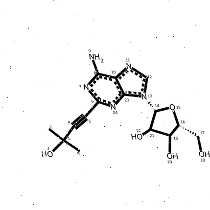 CC(C)(O)C#Cc1nc(N)c2ncn([C@@H]3O[C@H](CO)C(O)C3O)c2n1